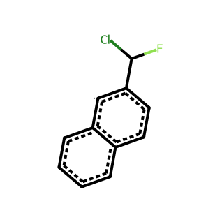 FC(Cl)c1[c]c2ccccc2cc1